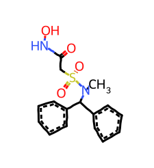 CN(C(c1ccccc1)c1ccccc1)S(=O)(=O)CC(=O)NO